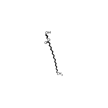 CCCCCCCCCCCCCCCCCC(=O)OCC=CO